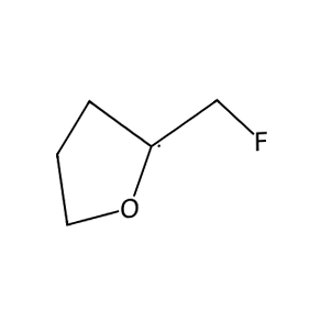 FC[C]1CCCO1